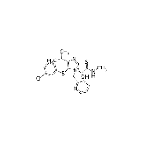 CNC(=S)C(O)[N+]1(Cc2ccccn2)C=NC(C(C)C)=C1Sc1cccc(Cl)c1